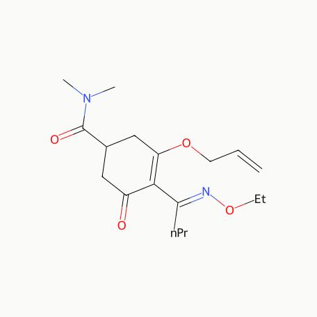 C=CCOC1=C(C(CCC)=NOCC)C(=O)CC(C(=O)N(C)C)C1